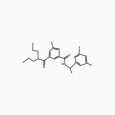 CCCN(CCC)C(=O)c1cc(C)cc(C(=O)NC(C)c2cc(F)cc(F)c2)c1